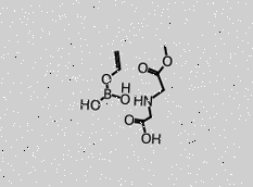 C=COB(O)O.COC(=O)CNCC(=O)O